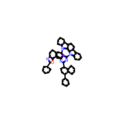 c1ccc(-c2nc3cccc(-c4nc(-c5ccc(-c6ccccc6)c6ccccc56)nc(-n5c6ccccc6c6ccc7c8ccccc8n(-c8ccccc8)c7c65)n4)c3o2)cc1